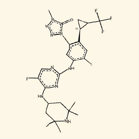 Cn1nnn(-c2cc(Nc3ncc(F)c(NC4CC(C)(C)NC(C)(C)C4)n3)c(F)cc2[C@H]2CC2C(F)(F)F)c1=O